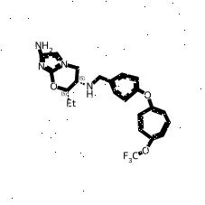 CC[C@@H]1Oc2nc(N)cn2C[C@@H]1NCc1ccc(OC2=CC=C=C(OC(F)(F)F)C=C2)cc1